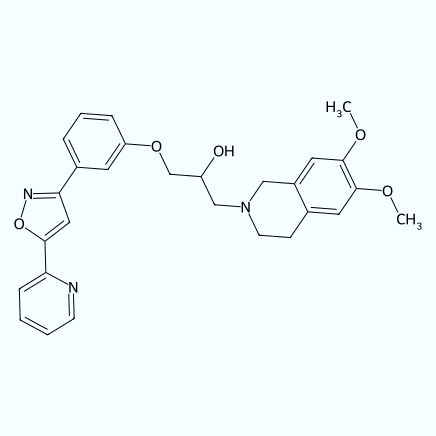 COc1cc2c(cc1OC)CN(CC(O)COc1cccc(-c3cc(-c4ccccn4)on3)c1)CC2